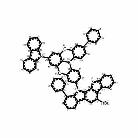 CC(C)(C)c1cc2c3cccc(-c4ccccc4)c3n(-c3ccc4c(c3)Oc3cc(-n5c6ccccc6c6ccccc65)cc5c3B4c3ccc(-c4ccccc4)cc3O5)c2c2sc3ccccc3c12